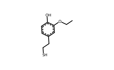 CCOc1cc(CCS)ccc1O